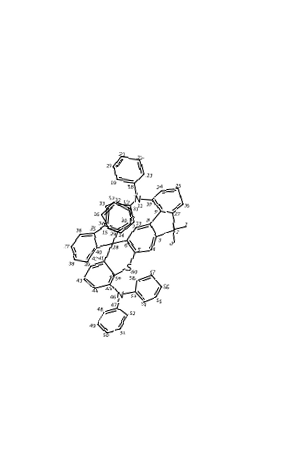 CC1(C)c2cc3c(cc2-c2c(N(c4ccccc4)c4ccccc4)cccc21)C1(c2ccccc2-c2ccccc21)c1cccc(N(c2ccccc2)c2ccccc2)c1S3